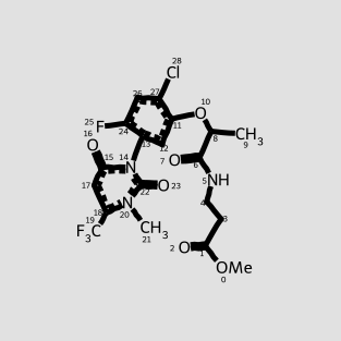 COC(=O)CCNC(=O)C(C)Oc1cc(-n2c(=O)cc(C(F)(F)F)n(C)c2=O)c(F)cc1Cl